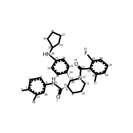 Cc1ccc(NC(=O)[C@H]2CCCN(C(=O)c3c(C)cccc3F)[C@H]2c2ccc(NC3CCCC3)cc2)cc1C